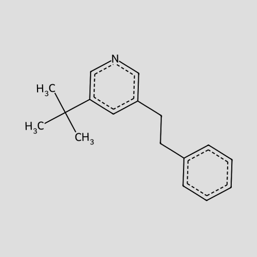 CC(C)(C)c1cncc(CCc2ccccc2)c1